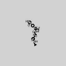 O=C(Nc1cn(C2CCC(N3CCNCC3=O)CC2)nc1C(F)F)c1coc(-c2ccnc(NCC3CC3)c2)n1